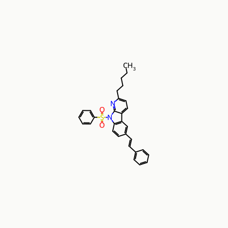 CCCCCc1ccc2c3cc(C=Cc4ccccc4)ccc3n(S(=O)(=O)c3ccccc3)c2n1